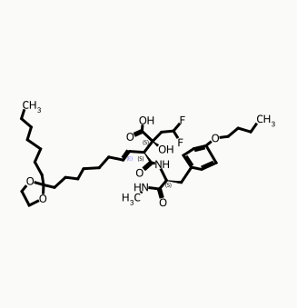 CCCCCCCC1(CCCCCC/C=C/[C@H](C(=O)N[C@@H](Cc2ccc(OCCCC)cc2)C(=O)NC)[C@@](O)(CC(F)F)C(=O)O)OCCO1